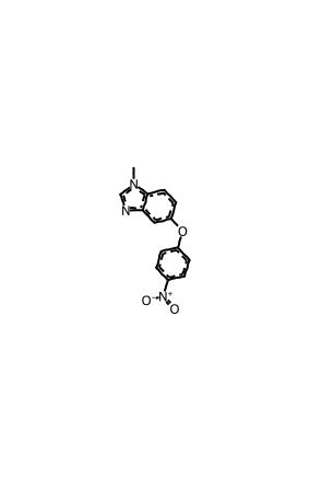 Cn1cnc2cc(Oc3ccc([N+](=O)[O-])cc3)ccc21